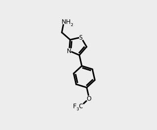 NCc1nc(-c2ccc(OC(F)(F)F)cc2)cs1